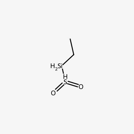 CC[SiH2][SH](=O)=O